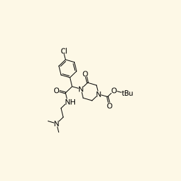 CN(C)CCNC(=O)C(c1ccc(Cl)cc1)N1CCN(C(=O)OC(C)(C)C)CC1=O